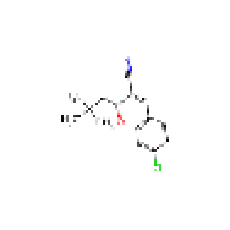 CC(C)(C)CC(=O)/C(C#N)=C\c1ccc(Cl)cc1